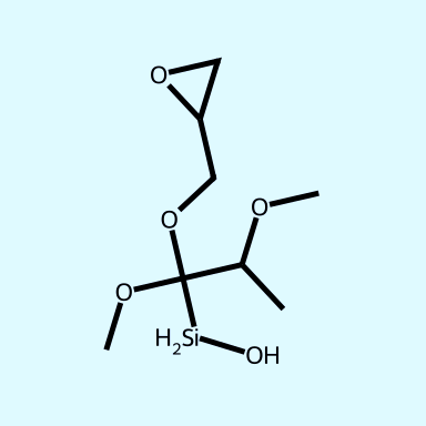 COC(C)C(OC)(OCC1CO1)[SiH2]O